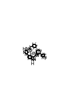 O=C(Cc1ccccc1)Nc1cncc(-c2ccc3[nH]nc(-c4nc5c(-c6ccc(F)cc6)nccc5[nH]4)c3c2)c1